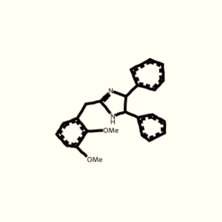 COc1cccc(CC2=NC(c3ccccc3)C(c3ccccc3)N2)c1OC